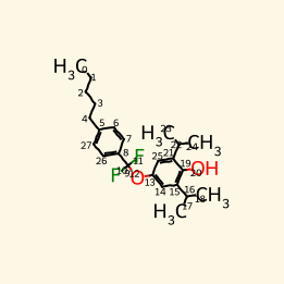 CCCCCc1ccc(C(F)(F)Oc2cc(C(C)C)c(O)c(C(C)C)c2)cc1